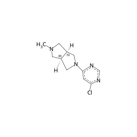 CN1C[C@@H]2CN(c3cc(Cl)ncn3)C[C@@H]2C1